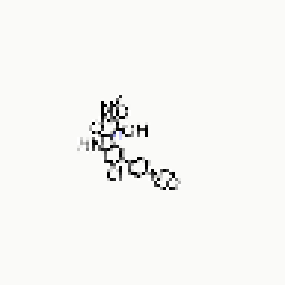 Cc1nnc(/C(O)=C2\C(=O)Nc3cc(Cl)c(-c4ccc(N5CCOCC5)cc4)cc32)o1